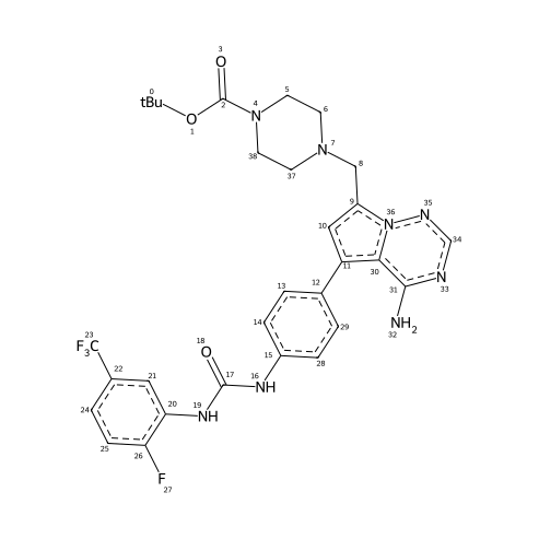 CC(C)(C)OC(=O)N1CCN(Cc2cc(-c3ccc(NC(=O)Nc4cc(C(F)(F)F)ccc4F)cc3)c3c(N)ncnn23)CC1